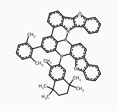 Cc1cc2c(cc1N1c3cc(-c4c(C)cccc4C)cc4c3B(c3ccc5c(oc6ccccc65)c31)n1c3c-4cccc3c3oc4ccccc4c31)C(C)(C)CCC2(C)C